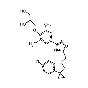 Cc1cc(-c2noc(COCC3(c4ccc(Cl)cc4)CC3)n2)cc(C)c1OC[C@@H](O)CO